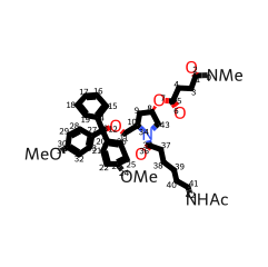 CNC(=O)CCC(=O)O[C@@H]1CC(COC(c2ccccc2)(c2ccc(OC)cc2)c2ccc(OC)cc2)N(C(=O)CCCCCNC(C)=O)C1